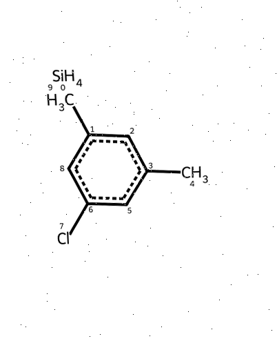 Cc1cc(C)cc(Cl)c1.[SiH4]